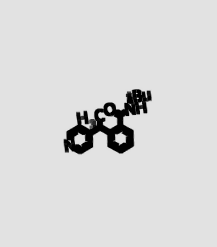 CC(c1ccncc1)c1ccccc1C(=O)NC(C)(C)C